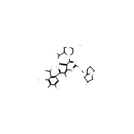 CC[C@@H]1N[C@H](C)CN2c3nc(OC[C@@]45CCCN4C[C@H](F)C5)nc4c(F)c(-c5cc(N)c(F)c(C)c5C(F)F)nc(c34)OC(C)C12